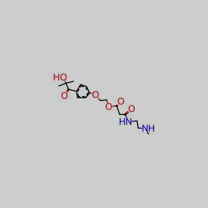 CNCCNC(=O)CC(=O)OCCOc1ccc(C(=O)C(C)(C)O)cc1